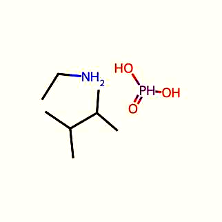 CC(C)C(C)C.CCN.O=[PH](O)O